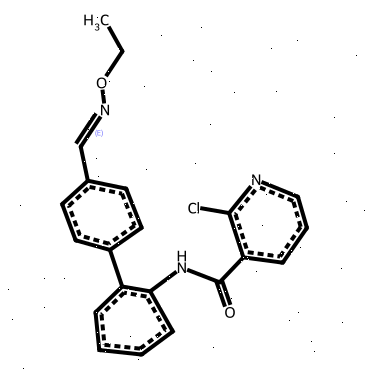 CCO/N=C/c1ccc(-c2ccccc2NC(=O)c2cccnc2Cl)cc1